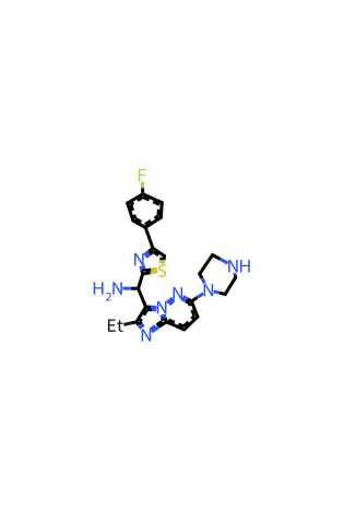 CCc1nc2ccc(N3CCNCC3)nn2c1C(N)c1nc(-c2ccc(F)cc2)cs1